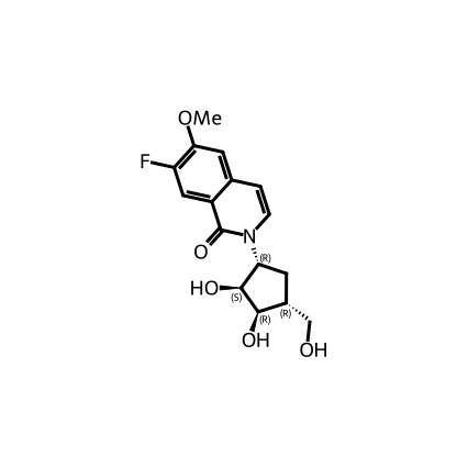 COc1cc2ccn([C@@H]3C[C@H](CO)[C@@H](O)[C@H]3O)c(=O)c2cc1F